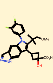 COCC(C)(C)c1c(C2CC(O)(C(=O)O)C2)c2cc3[nH]ncc3cc2n1-c1ccc(F)c(F)c1